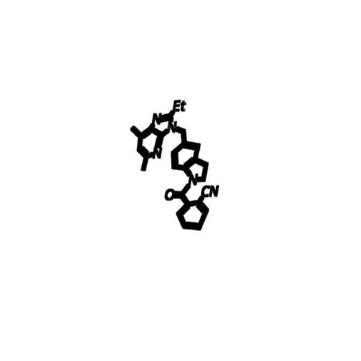 CCc1nc2c(C)cc(C)nc2n1Cc1ccc2c(c1)CCN2C(=O)c1ccccc1C#N